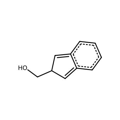 OCC1C=c2ccccc2=C1